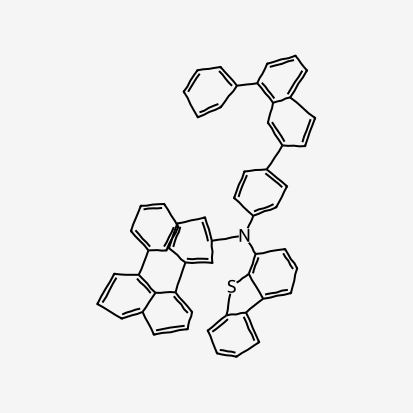 c1ccc(-c2cccc3ccc(-c4ccc(N(c5cccc(-c6cccc7cccc(-c8ccccc8)c67)c5)c5cccc6c5sc5ccccc56)cc4)cc23)cc1